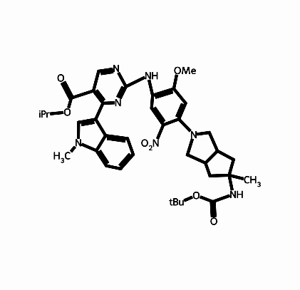 COc1cc(N2CC3CC(C)(NC(=O)OC(C)(C)C)CC3C2)c([N+](=O)[O-])cc1Nc1ncc(C(=O)OC(C)C)c(-c2cn(C)c3ccccc23)n1